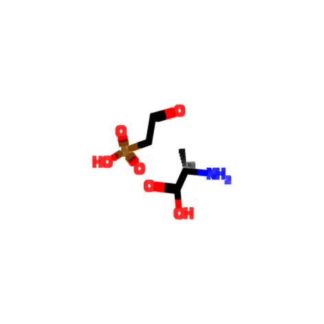 C[C@H](N)C(=O)O.O=CCS(=O)(=O)O